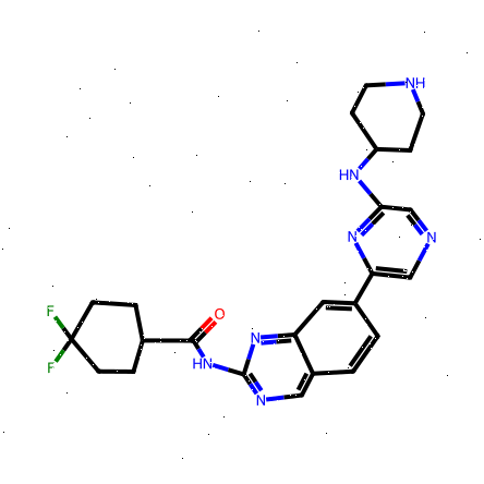 O=C(Nc1ncc2ccc(-c3cncc(NC4CCNCC4)n3)cc2n1)C1CCC(F)(F)CC1